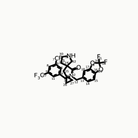 O=C(N(Cc1cc(C(F)(F)F)cc(C(F)(F)F)c1)Cc1ccc2c(c1)OC(F)(F)O2)C1(CC2CC2)CCNC1